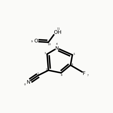 N#Cc1cncc(F)c1.O=CO